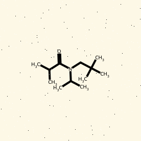 CC(C)C(=O)N(CC(C)(C)C)C(C)C